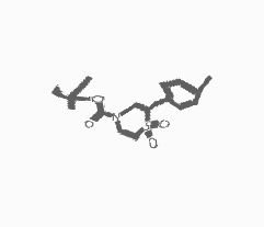 Cc1ccc(C2CN(C(=O)OC(C)(C)C)CCS2(=O)=O)cc1